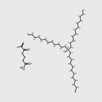 C=C(C)C(=O)CCCC(=O)O.CCCCCCCCCCCC[N+](C)(CCCCCCCCCCCC)CCCCCCCCCCCC